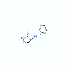 O=C1NN=CC1=CNCc1cccnc1